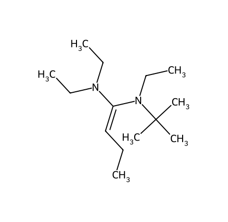 CC/C=C(/N(CC)CC)N(CC)C(C)(C)C